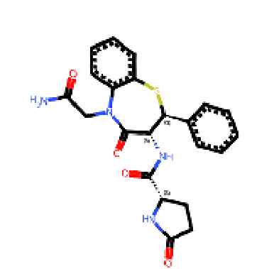 NC(=O)CN1C(=O)[C@@H](NC(=O)[C@@H]2CCC(=O)N2)[C@H](c2ccccc2)Sc2ccccc21